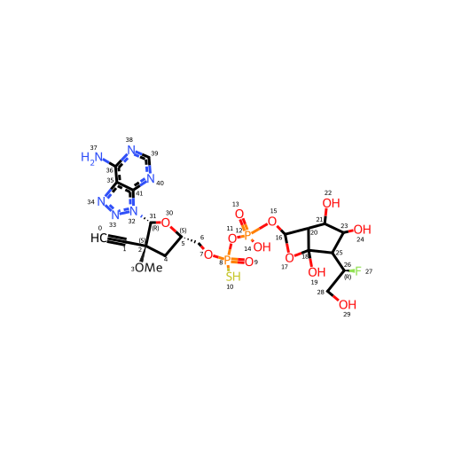 C#C[C@@]1(OC)C[C@@H](COP(=O)(S)OP(=O)(O)OC2OC3(O)C2C(O)C(O)C3[C@@H](F)CO)O[C@H]1n1nnc2c(N)ncnc21